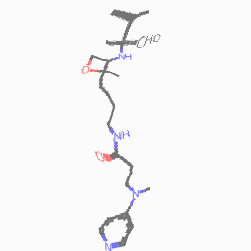 C=C(C)C(C)(C=O)NC1COC1(C)CCCNC(=O)CCN(C)c1ccncc1